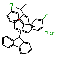 CC1=[C]([Zr+2](=[CH]c2ccc(Cl)cc2)(=[CH]c2ccc(Cl)cc2)[CH]2c3ccccc3-c3ccccc32)C(C)C=C1C(C)C.[Cl-].[Cl-]